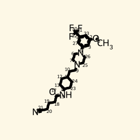 COc1cc(N2CCN(CCC3CCC(NC(=O)CCCC#N)CC3)CC2)cc(C(F)(F)F)c1